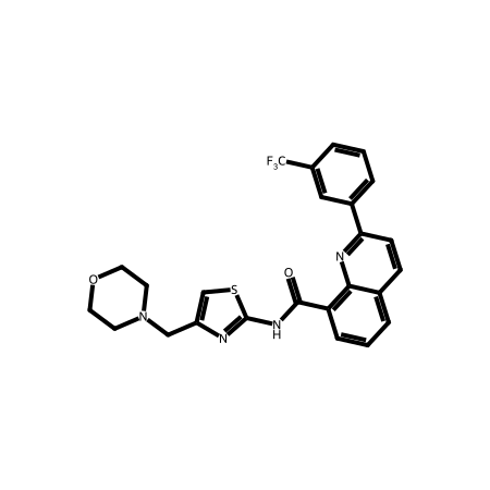 O=C(Nc1nc(CN2CCOCC2)cs1)c1cccc2ccc(-c3cccc(C(F)(F)F)c3)nc12